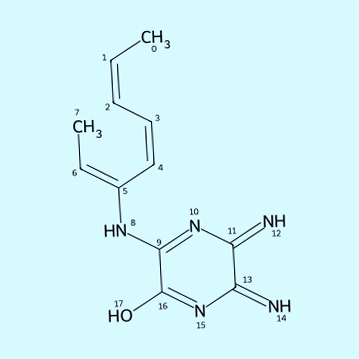 C\C=C/C=C\C(=C/C)NC1=NC(=N)C(=N)N=C1O